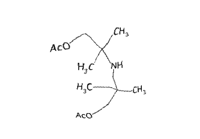 CC(=O)OCC(C)(C)NC(C)(C)COC(C)=O